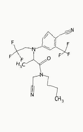 CCCCN(CC#N)C(=O)C(C)N(CC(F)(F)F)c1ccc(C#N)c(C(F)(F)F)c1